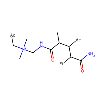 CCC(C(N)=O)C(C(C)=O)C(C)C(=O)NC[N+](C)(C)CC(C)=O